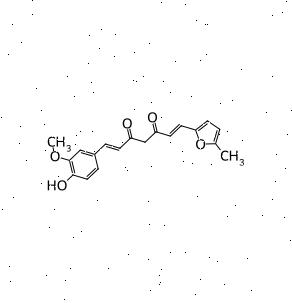 COc1cc(C=CC(=O)CC(=O)C=Cc2ccc(C)o2)ccc1O